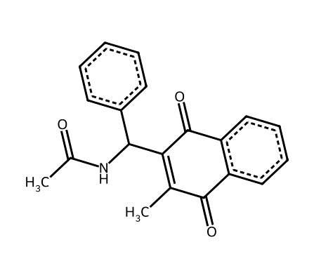 CC(=O)NC(C1=C(C)C(=O)c2ccccc2C1=O)c1ccccc1